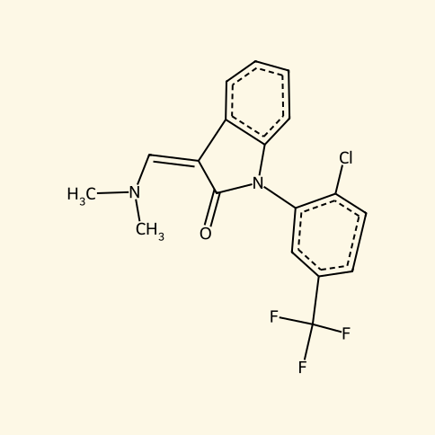 CN(C)C=C1C(=O)N(c2cc(C(F)(F)F)ccc2Cl)c2ccccc21